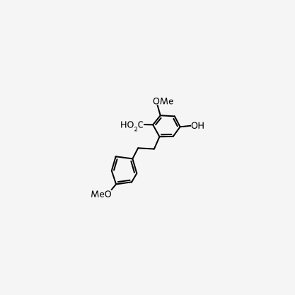 COc1ccc(CCc2cc(O)cc(OC)c2C(=O)O)cc1